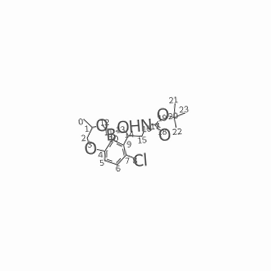 CC1COc2ccc(Cl)c3c2B(O1)OC3CNC(=O)OC(C)(C)C